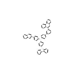 c1cc(-c2ccc(N(c3ccc(-c4ccc5ccccc5c4)cc3)c3ccc(-n4c5ccccc5c5ccccc54)cc3)cc2)cc(-c2cc3ccccc3c3ccccc23)c1